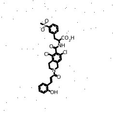 CS(=O)(=O)c1cccc(CC(NC(=O)c2c(Cl)cc3c(c2Cl)CCN(C(=O)/C=C/c2ccccc2O)C3)C(=O)O)c1